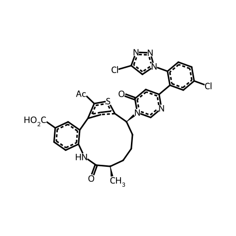 CC(=O)c1sc2cc1-c1cc(C(=O)O)ccc1NC(=O)[C@H](C)CCC[C@@H]2n1cnc(-c2cc(Cl)ccc2-n2cc(Cl)nn2)cc1=O